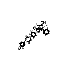 C[C@H](OCc1ccccc1)[C@H](C)n1ncn(-c2ccc(N3CCN(c4ccc(O)cc4)CC3)cc2)c1=O